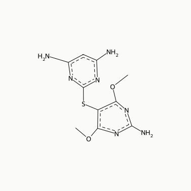 COc1nc(N)nc(OC)c1Sc1nc(N)cc(N)n1